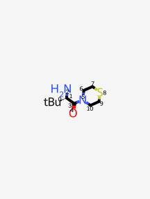 CC(C)(C)[C@H](N)C(=O)N1CCSCC1